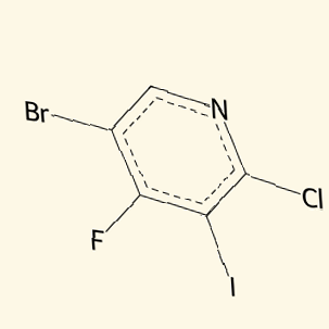 Fc1c(Br)cnc(Cl)c1I